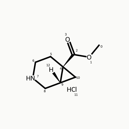 COC(=O)[C@]12CCNC[C@H]1C2.Cl